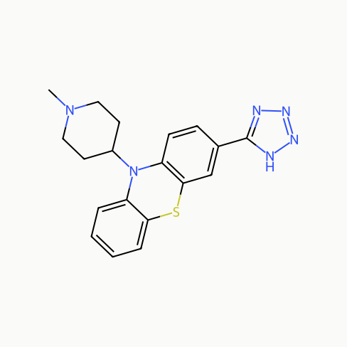 CN1CCC(N2c3ccccc3Sc3cc(-c4nnn[nH]4)ccc32)CC1